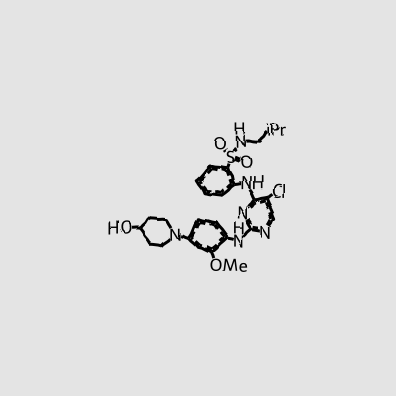 COc1cc(N2CCC(O)CC2)ccc1Nc1ncc(Cl)c(Nc2ccccc2S(=O)(=O)NCC(C)C)n1